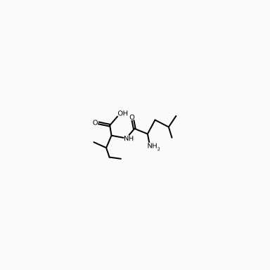 CCC(C)C(NC(=O)C(N)CC(C)C)C(=O)O